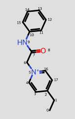 CCc1cc[n+](CC(=O)Nc2ccccc2)cc1